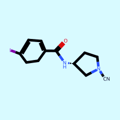 N#CN1CC[C@@H](NC(=O)C2=CC=C(I)CC2)C1